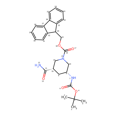 CC(C)(C)OC(=O)N[C@@H]1C[C@H](C(N)=O)CN(C(=O)OCC2c3ccccc3-c3ccccc32)C1